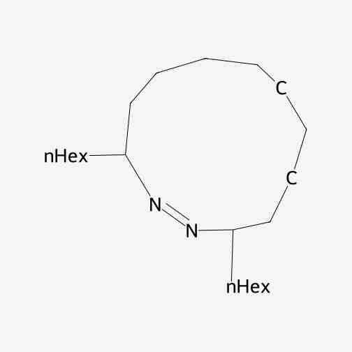 CCCCCCC1CCCCCCCCC(CCCCCC)N=N1